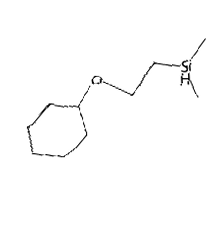 C[SiH](C)CCOC1CCCCC1